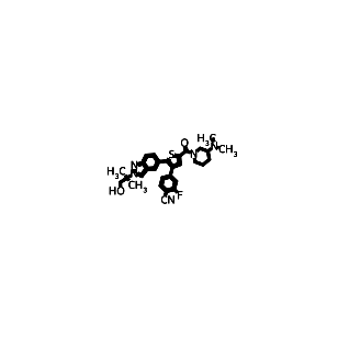 CN(C)C1CCCN(C(=O)c2cc(-c3ccc(C#N)c(F)c3)c(-c3ccc4nn(C(C)(C)CO)cc4c3)s2)C1